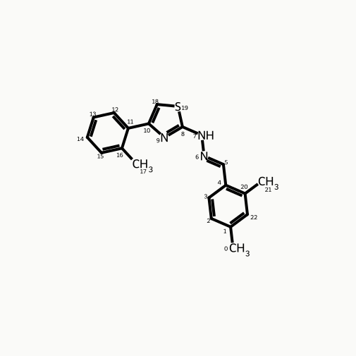 Cc1ccc(/C=N/Nc2nc(-c3ccccc3C)cs2)c(C)c1